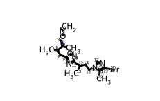 C=NO/C=C(\C)C(C)Cc1nc(C(C)CCn2cnc(C(C)C)c2C)no1